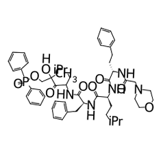 CC(C)CC[C@H](NC(=O)[C@H](CCc1ccccc1)NC(=O)CN1CCOCC1)C(=O)N[C@@H](Cc1ccccc1)C(=O)NC(CC(C)C)C(=O)C(C)(O)COP(=O)(c1ccccc1)c1ccccc1